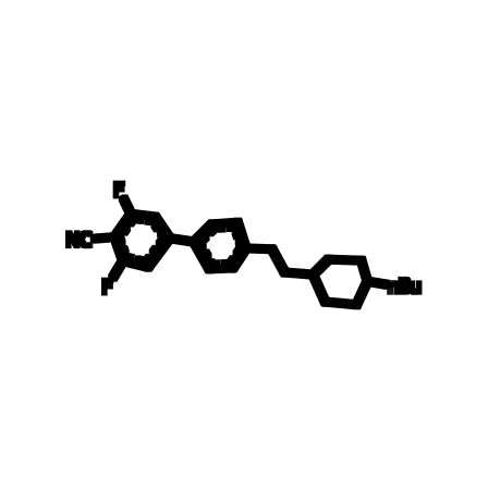 CCCCC1CCC(CCc2ccc(-c3cc(F)c(C#N)c(F)c3)cc2)CC1